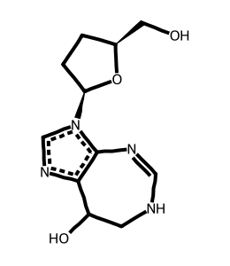 OC[C@@H]1CC[C@H](n2cnc3c2N=CNCC3O)O1